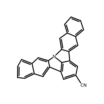 N#Cc1cc2c3cc4ccccc4cc3n3c4cc5ccccc5cc4c(c1)c23